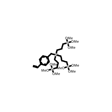 C=Cc1ccc(C[N+](CCC[Si](OC)(OC)OC)(CCC[Si](OC)(OC)OC)CCC[Si](OC)(OC)OC)cc1